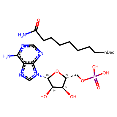 CCCCCCCCCCCCCCCCCC(N)=O.Nc1ncnc2c1ncn2[C@@H]1O[C@H](COP(=O)(O)O)[C@@H](O)[C@H]1O